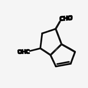 O=CC1CC(C=O)C2CC=CC12